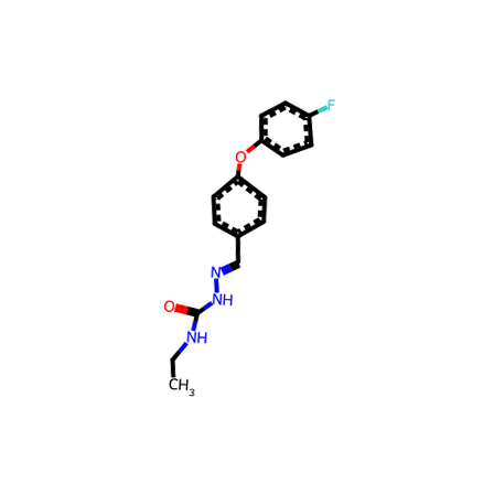 CCNC(=O)NN=Cc1ccc(Oc2ccc(F)cc2)cc1